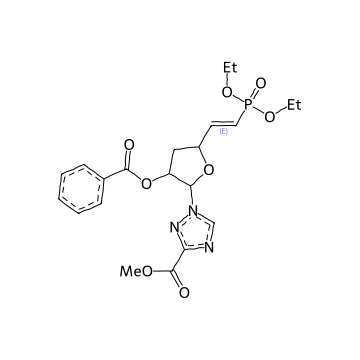 CCOP(=O)(/C=C/C1CC(OC(=O)c2ccccc2)C(n2cnc(C(=O)OC)n2)O1)OCC